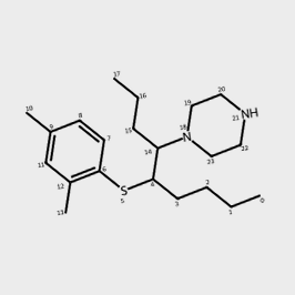 CCCCC(Sc1ccc(C)cc1C)C(CCC)N1CCNCC1